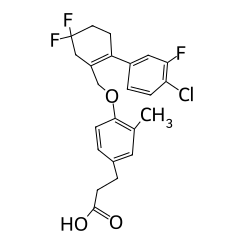 Cc1cc(CCC(=O)O)ccc1OCC1=C(c2ccc(Cl)c(F)c2)CCC(F)(F)C1